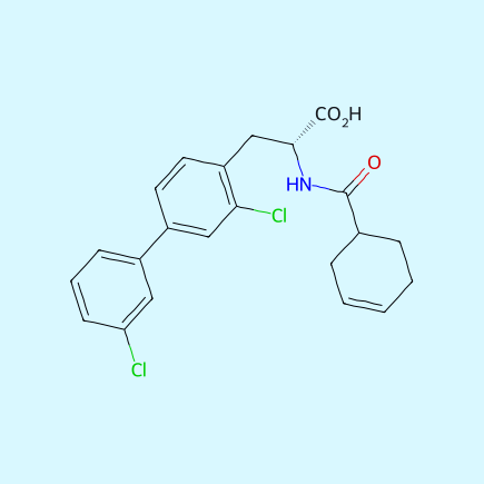 O=C(N[C@H](Cc1ccc(-c2cccc(Cl)c2)cc1Cl)C(=O)O)C1CC=CCC1